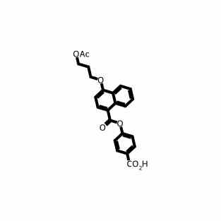 CC(=O)OCCCOc1ccc(C(=O)Oc2ccc(C(=O)O)cc2)c2ccccc12